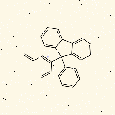 C=C/C=C(\C=C)C1(c2ccccc2)c2ccccc2-c2ccccc21